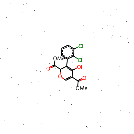 COC(=O)C1=COC(C(=O)OC)C(c2cccc(Cl)c2Cl)=C1O